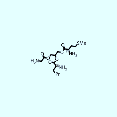 CSCC[C@H](N)C(=O)OCC(COC(=O)CN)OC(=O)[C@@H](N)CC(C)C